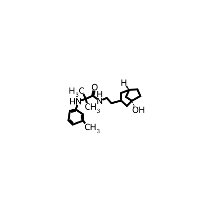 Cc1cccc(NC(C)(C)C(=O)NCCC2C[C@@H]3CC[C@@](O)(C2)C3)c1